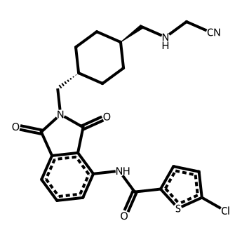 N#CCNC[C@H]1CC[C@H](CN2C(=O)c3cccc(NC(=O)c4ccc(Cl)s4)c3C2=O)CC1